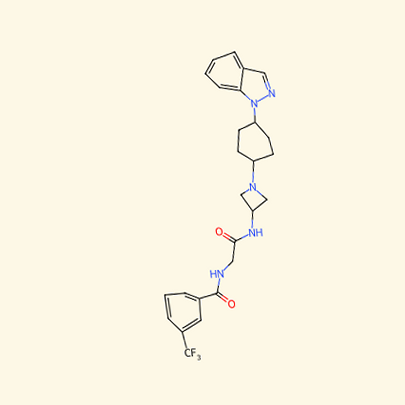 O=C(CNC(=O)c1cccc(C(F)(F)F)c1)NC1CN(C2CCC(n3ncc4ccccc43)CC2)C1